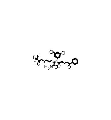 NC(=O)[C@H](CCCSCC(=O)C(F)(F)F)N(C(=O)CCCC(=O)c1ccccc1)c1cc(Cl)cc(Cl)c1